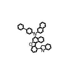 c1ccc(-c2ccc(N(c3ccc4ccccc4c3)c3cc4oc5cccc(C6=Nc7ccccc7C6)c5c4c4ccccc34)cc2)cc1